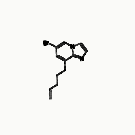 C=CCCCc1cc(Br)cn2ccnc12